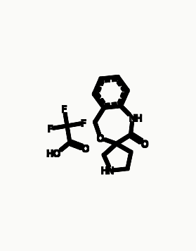 O=C(O)C(F)(F)F.O=C1Nc2ccccc2COC12CCNC2